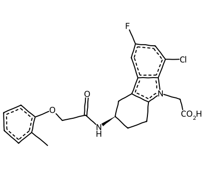 Cc1ccccc1OCC(=O)N[C@@H]1CCc2c(c3cc(F)cc(Cl)c3n2CC(=O)O)C1